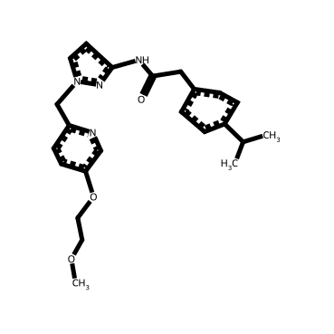 COCCOc1ccc(Cn2ccc(NC(=O)Cc3ccc(C(C)C)cc3)n2)nc1